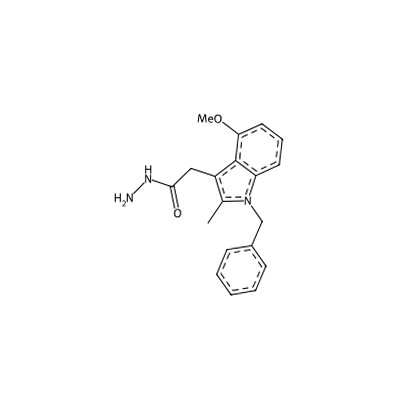 COc1cccc2c1c(CC(=O)NN)c(C)n2Cc1ccccc1